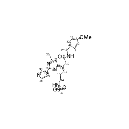 COc1ccc(C(C)NC(=O)CN(CCCNS(C)(=O)=O)c2cc(C)nc(-n3ccnc3)n2)cc1